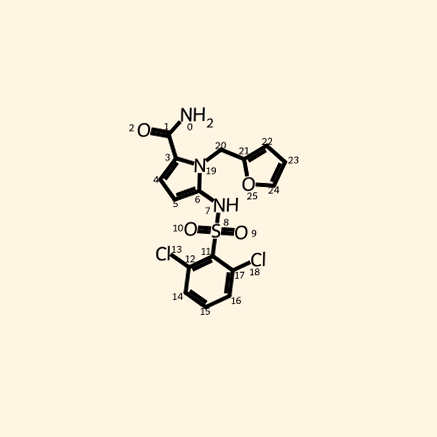 NC(=O)c1ccc(NS(=O)(=O)c2c(Cl)cccc2Cl)n1Cc1ccco1